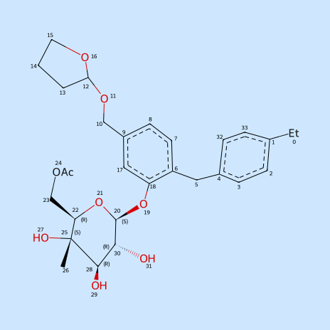 CCc1ccc(Cc2ccc(COC3CCCO3)cc2O[C@@H]2O[C@H](COC(C)=O)[C@@](C)(O)[C@H](O)[C@H]2O)cc1